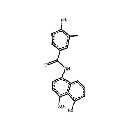 Cc1cc(C(=O)Nc2ccc(S(=O)(=O)O)c3c(O)cccc23)ccc1N